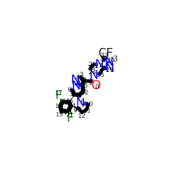 O=C(c1cnn2ccc(N3CCC[C@@H]3c3cc(F)ccc3F)cc12)N1CCn2c(nnc2C(F)(F)F)C1